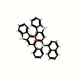 c1ccc(N(c2ccc3c(c2)oc2ccccc23)c2cccc3ccccc23)c(-c2ccc3c(c2)sc2ccccc23)c1